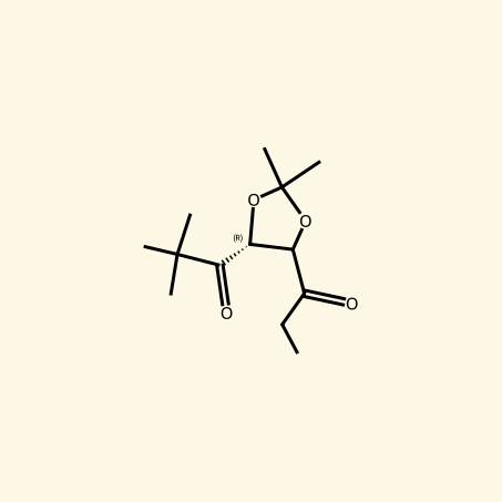 CCC(=O)C1OC(C)(C)O[C@H]1C(=O)C(C)(C)C